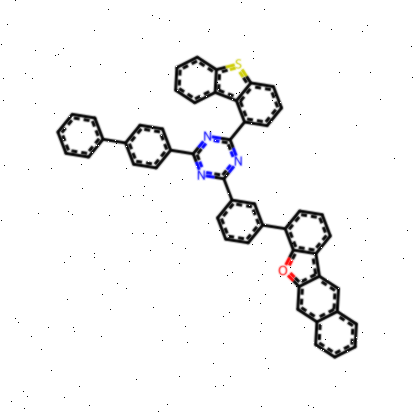 c1ccc(-c2ccc(-c3nc(-c4cccc(-c5cccc6c5oc5cc7ccccc7cc56)c4)nc(-c4cccc5sc6ccccc6c45)n3)cc2)cc1